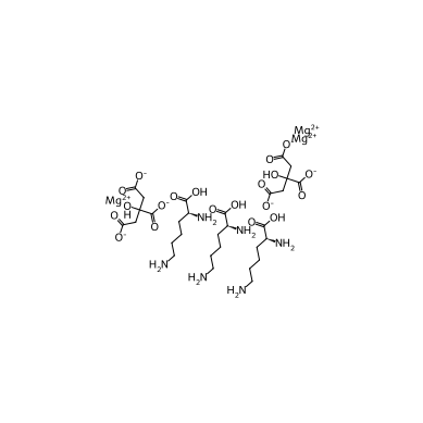 NCCCC[C@H](N)C(=O)O.NCCCC[C@H](N)C(=O)O.NCCCC[C@H](N)C(=O)O.O=C([O-])CC(O)(CC(=O)[O-])C(=O)[O-].O=C([O-])CC(O)(CC(=O)[O-])C(=O)[O-].[Mg+2].[Mg+2].[Mg+2]